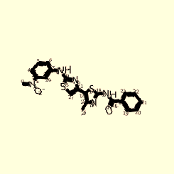 C=[N+]([O-])c1cccc(Nc2nc(-c3sc(NC(=O)c4ccccc4)nc3C)cs2)c1